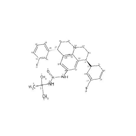 CC(C)(C)NC(=O)Nc1cc2c3c(c1)[C@H](C1C=C(F)C=CC1)CCN3CC[C@H]2c1cccc(F)c1